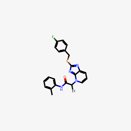 CCC(C(=O)Nc1ccccc1C)n1cccc2nc(SCc3ccc(F)cc3)nc1-2